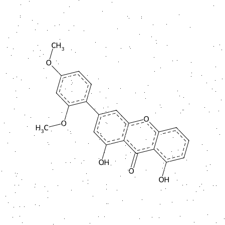 COc1ccc(-c2cc(O)c3c(=O)c4c(O)cccc4oc3c2)c(OC)c1